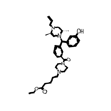 C=CCN1C[C@H](C)N(C(c2cccc(O)c2)c2cccc(C(=O)N3CCN(CCCCC(=O)OCC)CC3)c2)C[C@H]1C